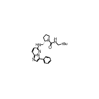 CC(C)(C)CNC(=O)N1CCC[C@H]1CNc1ccc2ncc(-c3ccccc3)n2n1